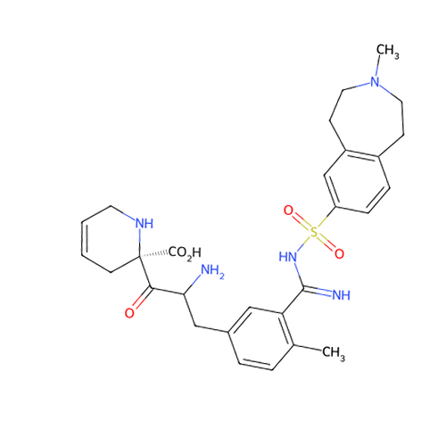 Cc1ccc(CC(N)C(=O)[C@@]2(C(=O)O)CC=CCN2)cc1C(=N)NS(=O)(=O)c1ccc2c(c1)CCN(C)CC2